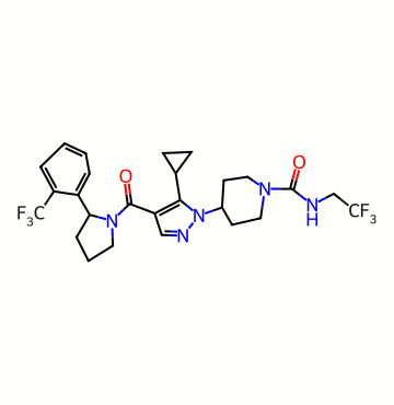 O=C(NCC(F)(F)F)N1CCC(n2ncc(C(=O)N3CCCC3c3ccccc3C(F)(F)F)c2C2CC2)CC1